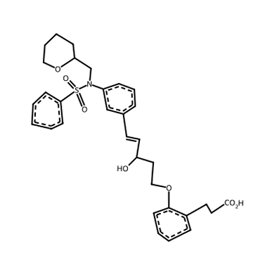 O=C(O)CCc1ccccc1OCCC(O)/C=C/c1cccc(N(CC2CCCCO2)S(=O)(=O)c2ccccc2)c1